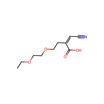 CCOCCOCCC(=CC#N)C(=O)O